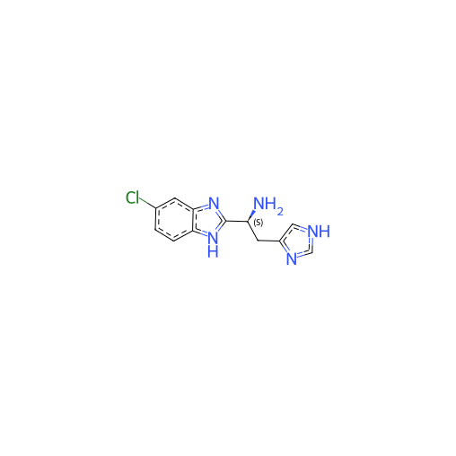 N[C@@H](Cc1c[nH]cn1)c1nc2cc(Cl)ccc2[nH]1